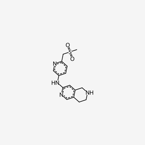 CS(=O)(=O)Cc1ccc(Nc2cc3c(cn2)CCNC3)cn1